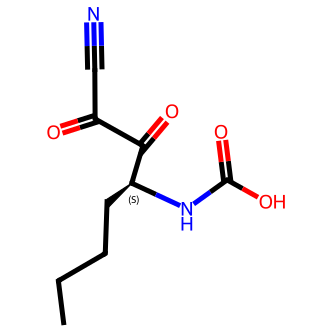 CCCC[C@H](NC(=O)O)C(=O)C(=O)C#N